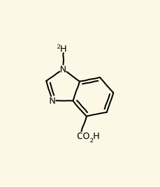 [2H]n1cnc2c(C(=O)O)cccc21